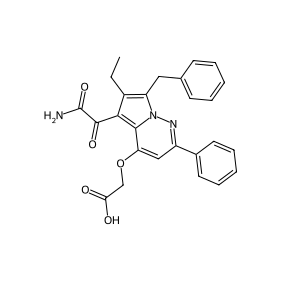 CCc1c(C(=O)C(N)=O)c2c(OCC(=O)O)cc(-c3ccccc3)nn2c1Cc1ccccc1